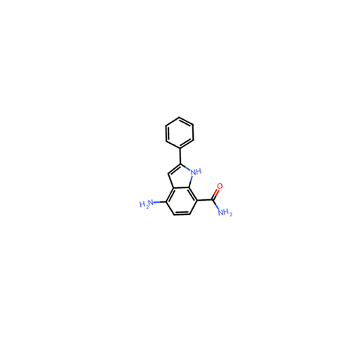 NC(=O)c1ccc(N)c2cc(-c3ccccc3)[nH]c12